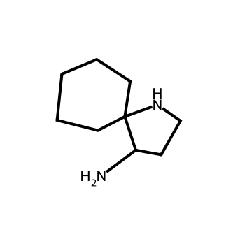 NC1CCNC12CCCCC2